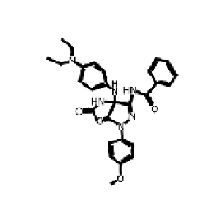 CCN(CC)c1ccc(NC2(NC(C)=O)C(=O)N(c3ccc(OC)cc3)N=C2NC(=O)c2ccccc2)cc1